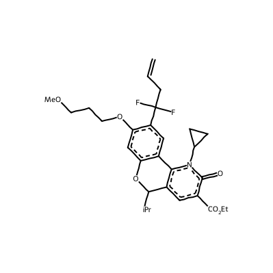 C=CCC(F)(F)c1cc2c(cc1OCCCOC)OC(C(C)C)c1cc(C(=O)OCC)c(=O)n(C3CC3)c1-2